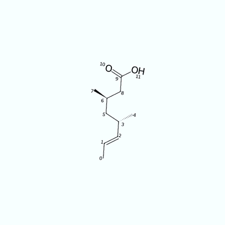 C/C=C/[C@@H](C)C[C@@H](C)CC(=O)O